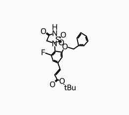 CC(C)(C)OC(=O)C=Cc1cc(F)c(N2CC(=O)NS2(=O)=O)c(OCc2ccccc2)c1